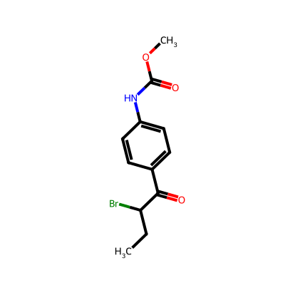 CCC(Br)C(=O)c1ccc(NC(=O)OC)cc1